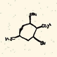 CC1CC(C(C)(C)C)C(C(=O)O)C(C(C)(C)C)C1